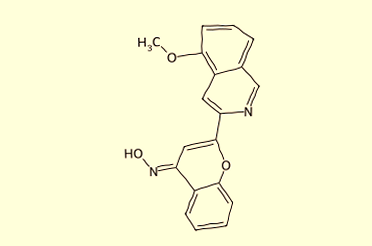 COc1cccc2cnc(-c3cc(=NO)c4ccccc4o3)cc12